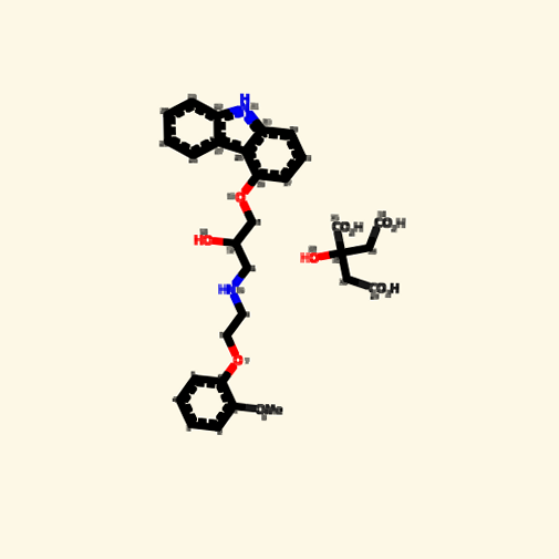 COc1ccccc1OCCNCC(O)COc1cccc2[nH]c3ccccc3c12.O=C(O)CC(O)(CC(=O)O)C(=O)O